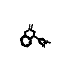 Cn1cc(C2CNCc3ccccc32)cn1